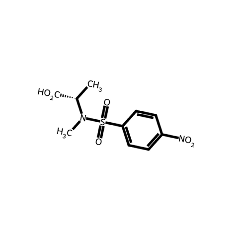 C[C@@H](C(=O)O)N(C)S(=O)(=O)c1ccc([N+](=O)[O-])cc1